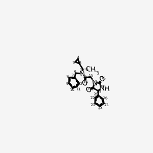 C[C@@H](C1CC1)N(Cc1ccccc1)C(=O)CN1C(=O)NC(c2ccccc2)C1=O